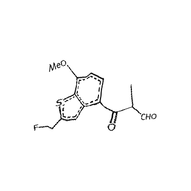 COc1ccc(C(=O)C(C)C=O)c2cc(CF)sc12